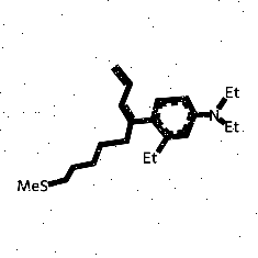 C=C/C=C(/CCCCCSC)c1ccc(N(CC)CC)cc1CC